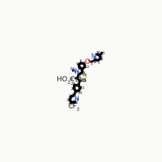 Cc1ccc(COc2ccc3c(c2)c(SC(C)(C)C)c(C(Cc2ccc(-c4ccc(C(F)(F)F)cn4)cc2)C(=O)O)n3C)nc1